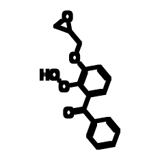 O=C(c1ccccc1)c1cccc(OCC2CO2)c1OO